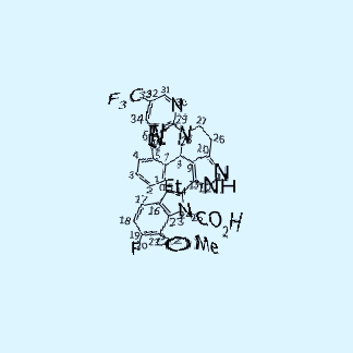 CCc1cccc(CC)c1C1c2c(n[nH]c2-c2cc3ccc(F)c(OC)c3n2C(=O)O)CCN1c1ncc(C(F)(F)F)cn1